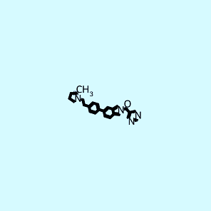 C[C@@H]1CCCN1CCc1ccc(-c2ccc3cn(C(=O)c4cncnc4)cc3c2)cc1